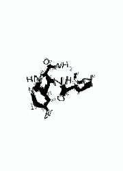 Cn1nccc1C(=O)Nc1c(C(N)=O)[nH]c2ncc(Br)cc12